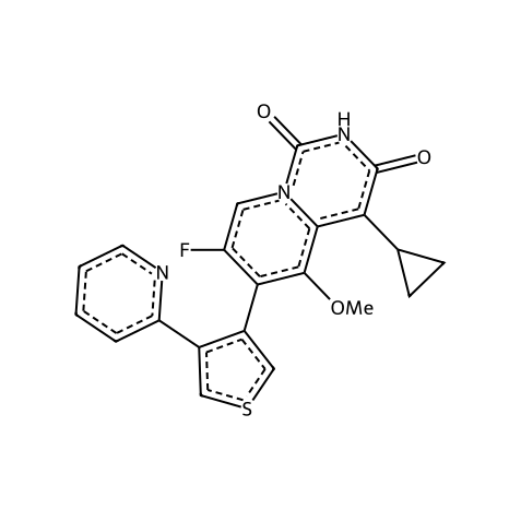 COc1c(-c2cscc2-c2ccccn2)c(F)cn2c(=O)[nH]c(=O)c(C3CC3)c12